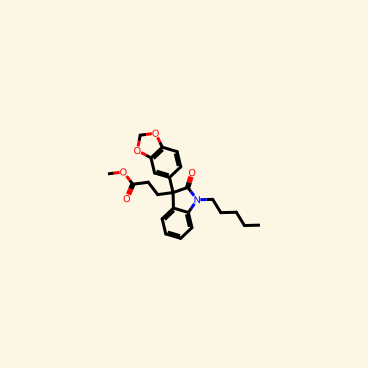 CCCCCN1C(=O)C(CCC(=O)OC)(c2ccc3c(c2)OCO3)c2ccccc21